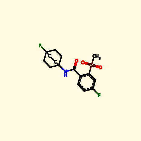 CS(=O)(=O)c1cc(F)ccc1C(=O)NC12CCC(F)(CC1)CC2